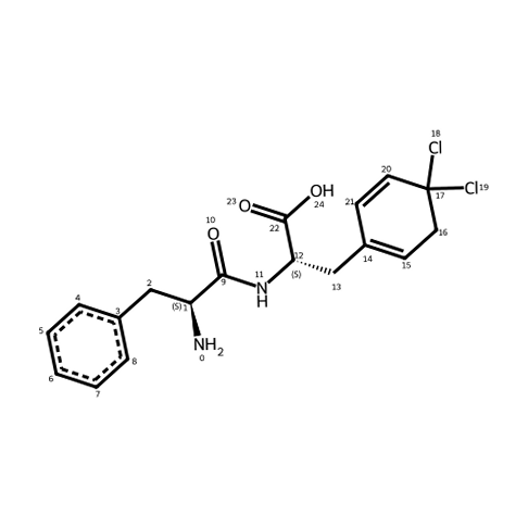 N[C@@H](Cc1ccccc1)C(=O)N[C@@H](CC1=CCC(Cl)(Cl)C=C1)C(=O)O